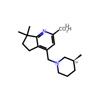 C[C@H]1CCCN(Cc2cc(C(=O)O)nc3c2CCC3(C)C)C1.[Li]